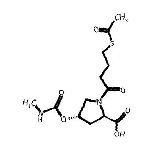 CNC(=O)O[C@H]1C[C@H](C(=O)O)N(C(=O)CCCSC(C)=O)C1